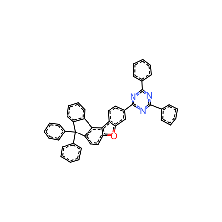 c1ccc(-c2nc(-c3ccccc3)nc(-c3ccc4c(c3)oc3ccc5c(c34)-c3ccccc3C5(c3ccccc3)c3ccccc3)n2)cc1